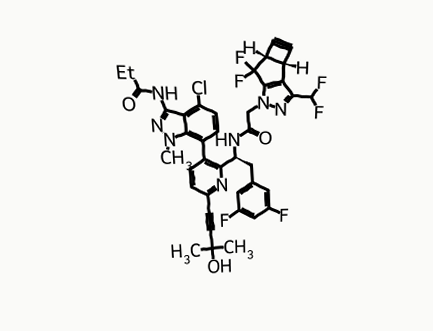 CCC(=O)Nc1nn(C)c2c(-c3ccc(C#CC(C)(C)O)nc3[C@H](Cc3cc(F)cc(F)c3)NC(=O)Cn3nc(C(F)F)c4c3C(F)(F)[C@@H]3C#C[C@H]43)ccc(Cl)c12